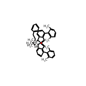 Cc1cccc(C)c1-c1cccc2c1C=C[CH]2[Hf]([CH3])([CH3])([CH3])(=[SiH2])([CH2]Cc1ccccc1)[CH]1C=Cc2c(-c3c(C)cccc3C)cccc21